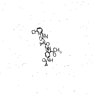 CC(=O)c1nn(CC(=O)N(CC(=O)Nc2cccc(Cl)n2)C2CC2)c2ccc(NC(=O)C3CC3)cc12